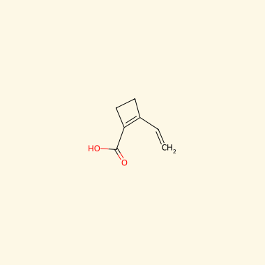 C=CC1=C(C(=O)O)CC1